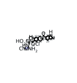 [C-]#[N+]/N=C(/N)NC[C@H](NC(=O)c1c(Cl)cc2c(c1Cl)CCN(C(=O)c1ccc3cn[nH]c3c1)C2)C(=O)O